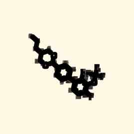 CCCC1COC(c2ccc(-c3ccc(F)c(OC(F)(F)F)c3F)cc2)OC1